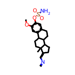 C=N/C=C1\CCC2C3CCc4cc(OS(N)(=O)=O)c(OC)cc4C3CCC12C